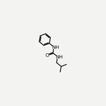 CC(C)CNC(=O)Nc1ccccc1